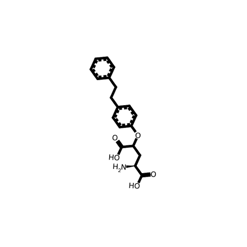 N[C@@H](CC(Oc1ccc(CCc2ccccc2)cc1)C(=O)O)C(=O)O